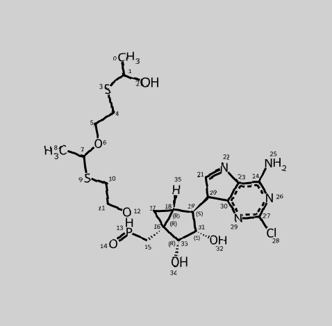 CC(O)SCCOC(C)SCCO[PH](=O)C[C@]12C[C@@H]1[C@@H](C1C=Nc3c(N)nc(Cl)nc31)[C@H](O)[C@@H]2O